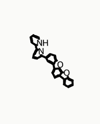 C1=CNC(c2cccc(-c3ccc4oc5c(ccc6c7ccccc7oc65)c4c3)n2)C=C1